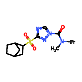 CC(C)N(C)C(=O)n1cnc(S(=O)(=O)C2CC3CCC2C3)n1